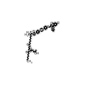 CCCCCCCC(=O)OCC(COC(=O)CCCCCCCC(C)C(C)n1ncn(-c2ccc(N3CCN(c4ccc(OCC5COC(Cn6cncn6)(c6ccc(Cl)cc6Cl)O5)cc4)CC3)cc2)c1=O)OC(=O)CCC(=O)O